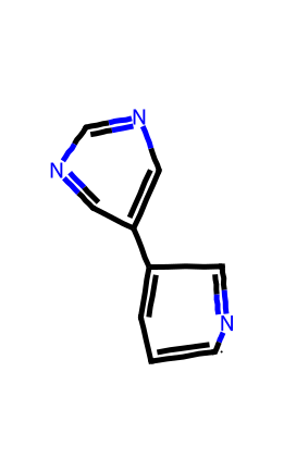 [c]1ccc(-c2cncnc2)cn1